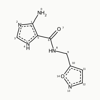 Nc1nc[nH]c1C(=O)NCc1ccno1